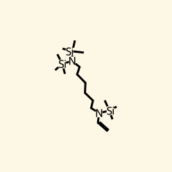 C=CN(CCCCCCN([Si](C)(C)C)[Si](C)(C)C)[Si](C)(C)C